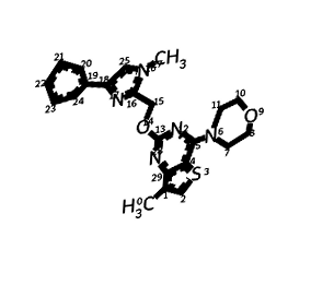 Cc1csc2c(N3CCOCC3)nc(OCc3nc(-c4ccccc4)cn3C)nc12